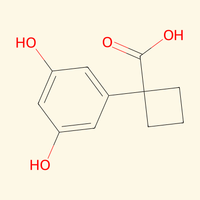 O=C(O)C1(c2cc(O)cc(O)c2)CCC1